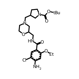 CCOc1cc(N)c(Cl)cc1C(=O)NCC1CN(CC2CCN(C(=O)OC(C)(C)C)C2)CCO1